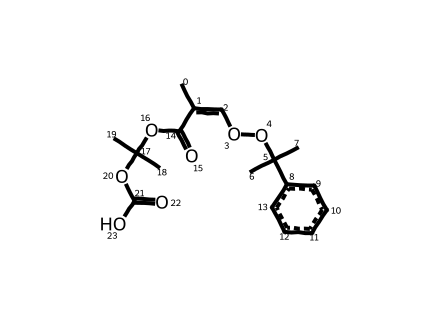 CC(=COOC(C)(C)c1ccccc1)C(=O)OC(C)(C)OC(=O)O